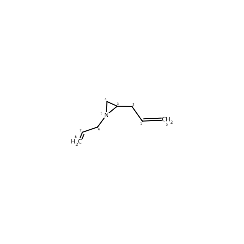 C=CCC1CN1CC=C